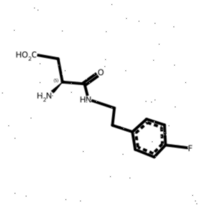 N[C@@H](CC(=O)O)C(=O)NCCc1ccc(F)cc1